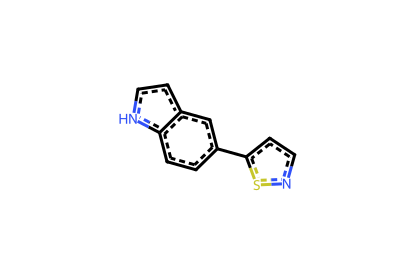 c1cc(-c2ccc3[nH]ccc3c2)sn1